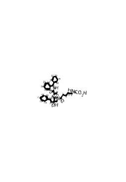 O=C(O)NCCCCC(=O)NCC(O)(CCc1ccccc1)c1nc(C(=O)NC(c2ccccc2)c2ccccc2)co1